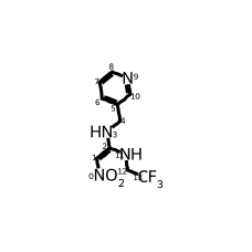 O=[N+]([O-])/C=C(/NCc1cccnc1)NCC(F)(F)F